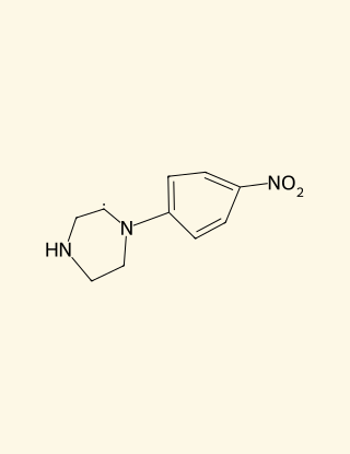 O=[N+]([O-])c1ccc(N2[CH]CNCC2)cc1